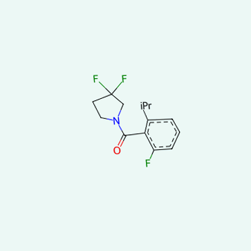 CC(C)c1cccc(F)c1C(=O)N1CCC(F)(F)C1